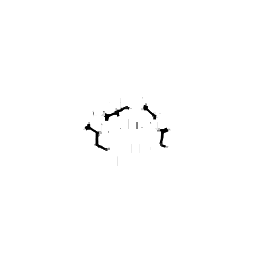 CC[C@H](C)[C@H](NC(=O)C(C)(C)COC(=O)[C@H](C)NC(=O)C(C)C)C(=O)O